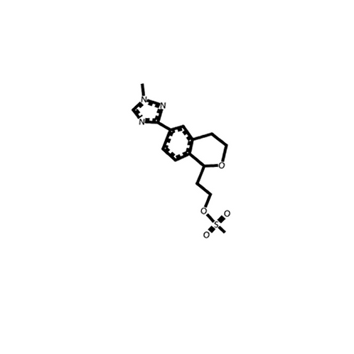 Cn1cnc(-c2ccc3c(c2)CCOC3CCOS(C)(=O)=O)n1